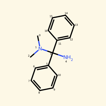 CN(C)C(N)(c1ccccc1)c1ccccc1